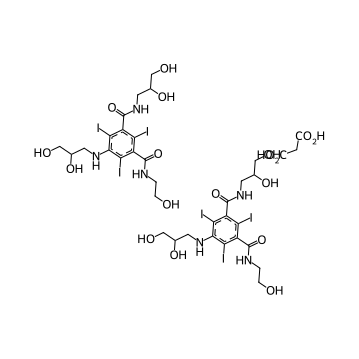 O=C(NCCO)c1c(I)c(NCC(O)CO)c(I)c(C(=O)NCC(O)CO)c1I.O=C(NCCO)c1c(I)c(NCC(O)CO)c(I)c(C(=O)NCC(O)CO)c1I.O=C(O)CC(=O)O